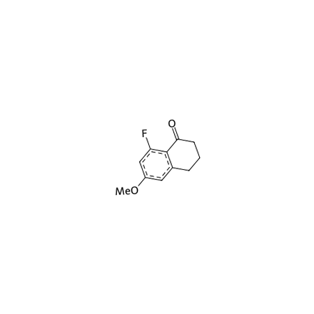 COc1cc(F)c2c(c1)CCCC2=O